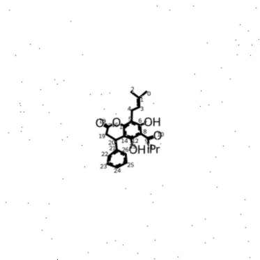 CC(C)=CCc1c(O)c(C(=O)C(C)C)c(O)c2c1OC(=O)CC2c1ccccc1